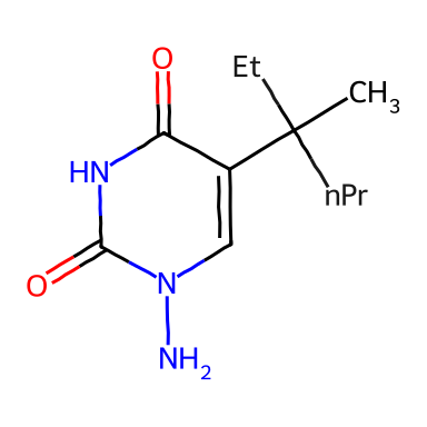 CCCC(C)(CC)c1cn(N)c(=O)[nH]c1=O